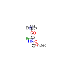 CCCCCCCCCCOc1ccccc1C(=O)Nc1ccc(C(=O)OCC[N+](C)(CC)CC)cc1.[Br-]